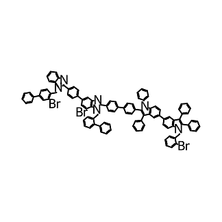 Brc1cc(-c2ccccc2)ccc1Cn1c(-c2ccc(-c3ccc4c(c3)nc(-c3ccc(-c5ccc(-c6c(-c7ccccc7)c7cc(-c8ccc9c(c8)c(-c8ccccc8)c(-c8ccccc8)n9Cc8ccccc8Br)ccc7n6-c6ccccc6)cc5)cc3)n4Cc3c(Br)cccc3-c3ccccc3)cc2)nc2ccccc21